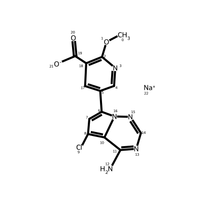 COc1ncc(-c2cc(Cl)c3c(N)ncnn23)cc1C(=O)[O-].[Na+]